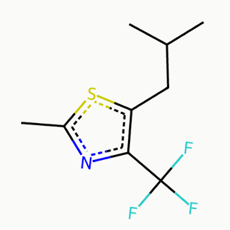 Cc1nc(C(F)(F)F)c(CC(C)C)s1